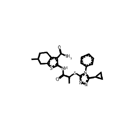 CC1CCc2c(sc(NC(=O)C(C)Sc3nnc(C4CC4)n3-c3ccccc3)c2C(N)=O)C1